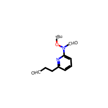 CC(C)(C)ON(C=O)c1cccc(CCC=O)n1